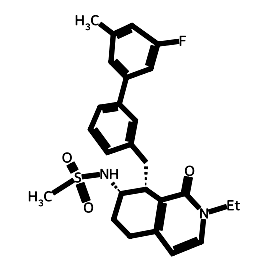 CCn1ccc2c(c1=O)[C@@H](Cc1cccc(-c3cc(C)cc(F)c3)c1)[C@@H](NS(C)(=O)=O)CC2